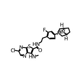 CNc1c(C(=O)NCCc2ccc(N3C[C@H]4CC[C@@H](C3)N4)cc2F)sc2nc(Cl)cnc12